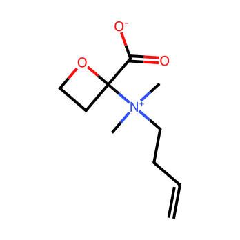 C=CCC[N+](C)(C)C1(C(=O)[O-])CCO1